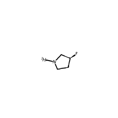 [2H]N1CC[C@H](F)C1